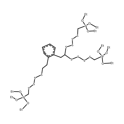 CCO[Si](CSSSSCCc1ccccc1CC(SSSSC[Si](OCC)(OCC)OCC)SSSSC[Si](OCC)(OCC)OCC)(OCC)OCC